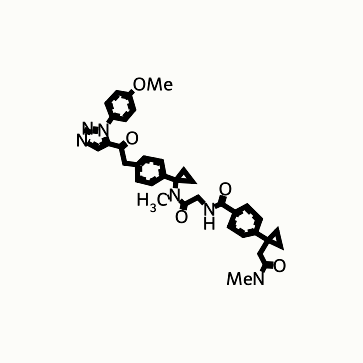 CNC(=O)CC1(c2ccc(C(=O)NCC(=O)N(C)C3(c4ccc(CC(=O)c5cnnn5-c5ccc(OC)cc5)cc4)CC3)cc2)CC1